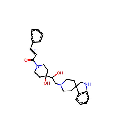 O=C(/C=C/c1ccccc1)N1CCC(O)(C(O)CN2CCC3(CC2)CNc2ccccc23)CC1